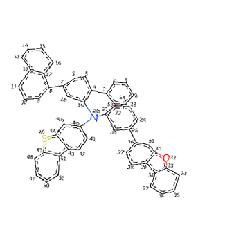 c1ccc(-c2ccc(-c3cccc4ccccc34)cc2N(c2cccc(-c3ccc4c(c3)oc3ccccc34)c2)c2ccc3c(c2)sc2ccccc23)cc1